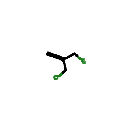 C=C=C(CCl)CCl